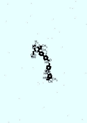 Cc1sc2c(c1C)C(c1ccc(-c3ccc(C(=O)NCc4ccc(S(=O)(=O)Nc5ccc(C)c6c(C#N)c[nH]c56)cc4)cc3F)cc1)=N[C@@H](CC(=O)OC(C)(C)C)c1nnc(C)n1-2